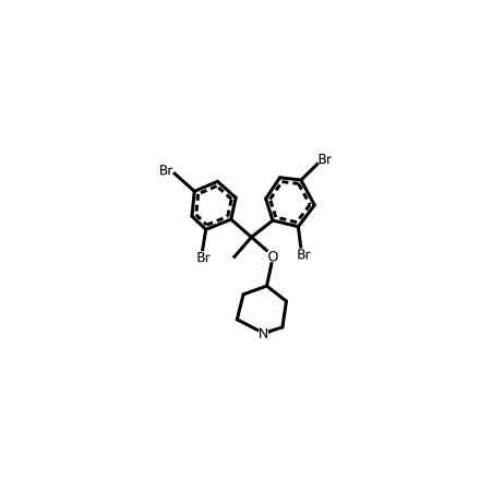 CC(OC1CC[N]CC1)(c1ccc(Br)cc1Br)c1ccc(Br)cc1Br